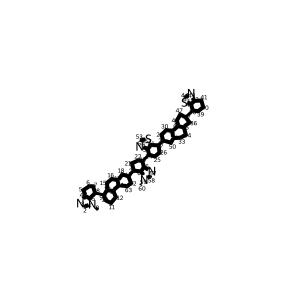 Cn1cnc2cccc(-c3cccc4c3ccc3cc(-c5ccc(-c6ccc(-c7ccc8c(ccc9cc(-c%10cccc%11ncsc%10%11)ccc98)c7)c7scnc67)c6ncn(C)c56)ccc34)c21